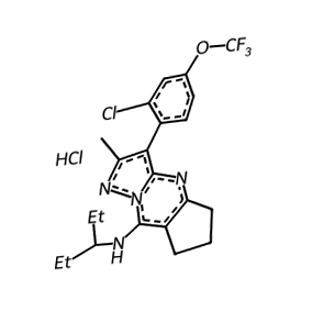 CCC(CC)Nc1c2c(nc3c(-c4ccc(OC(F)(F)F)cc4Cl)c(C)nn13)CCC2.Cl